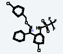 O=S(=O)(Nc1ccc(Cl)cc1/C(=N/OCc1ccc(Cl)cc1)c1ccccc1)C(F)(F)F